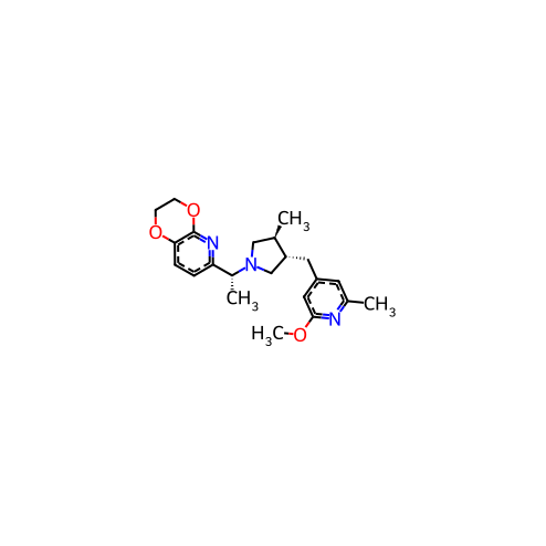 COc1cc(C[C@@H]2CN([C@H](C)c3ccc4c(n3)OCCO4)C[C@H]2C)cc(C)n1